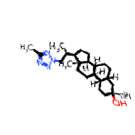 CCC[C@@]1(O)CC[C@H]2[C@H](CC[C@@H]3[C@@H]2CC[C@]2(C)C([C@H](C)Cn4nnc(C)n4)CC[C@@H]32)C1